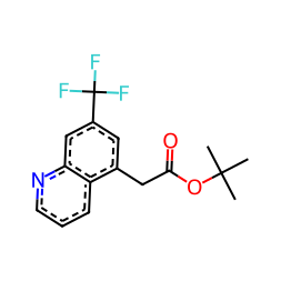 CC(C)(C)OC(=O)Cc1cc(C(F)(F)F)cc2ncccc12